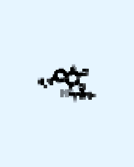 CNC(=O)C(C)Nc1cc(=O)n(C)c2ccc(N)cc12